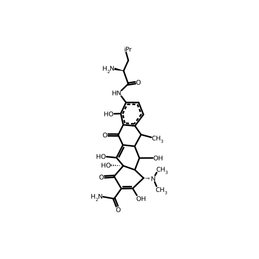 CC(C)C[C@H](N)C(=O)Nc1ccc2c(c1O)C(=O)C1=C(O)[C@]3(O)C(=O)C(C(N)=O)=C(O)[C@@H](N(C)C)C3C(O)C1C2C